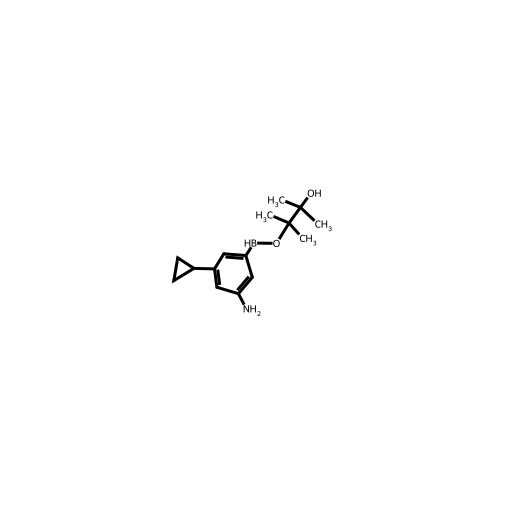 CC(C)(O)C(C)(C)OBc1cc(N)cc(C2CC2)c1